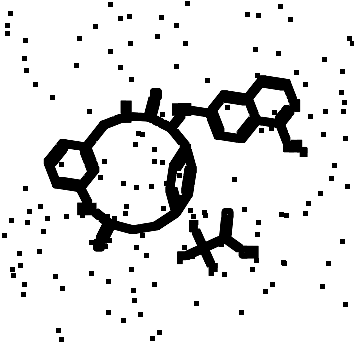 Nc1nccc2cc(NC3C(=O)NCc4cccc(c4)NC(=O)CCc4ccc3cc4)ccc12.O=C(O)C(F)(F)F